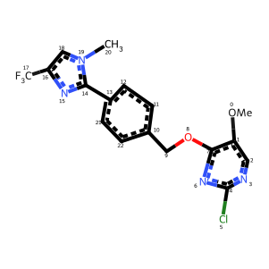 COc1cnc(Cl)nc1OCc1ccc(-c2nc(C(F)(F)F)cn2C)cc1